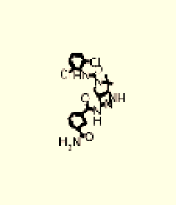 CC1(C)c2[nH]nc(NC(=O)c3cccc(C(N)=O)c3)c2CN1C(=O)Nc1c(Cl)cccc1Cl